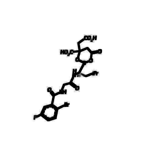 CC(C)C[C@H](NC(=O)CNC(=O)c1cc(F)ccc1Br)B1OC(=O)CC(CC(=O)O)(C(=O)O)O1